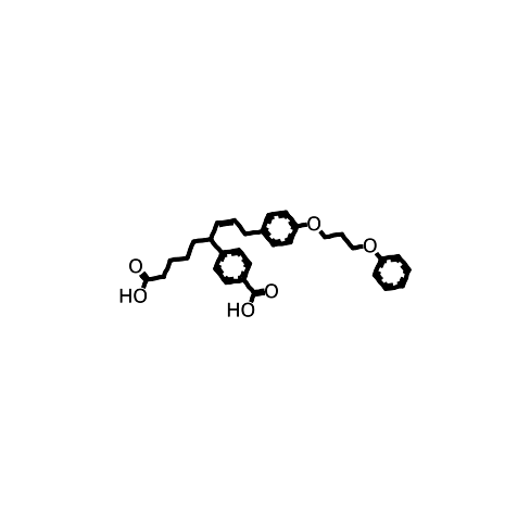 O=C(O)CCCCC(/C=C\Cc1ccc(OCCCOc2ccccc2)cc1)c1ccc(C(=O)O)cc1